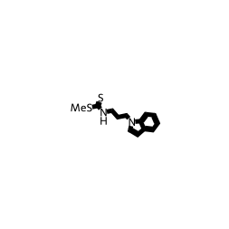 CSC(=S)NCCCn1ccc2ccccc21